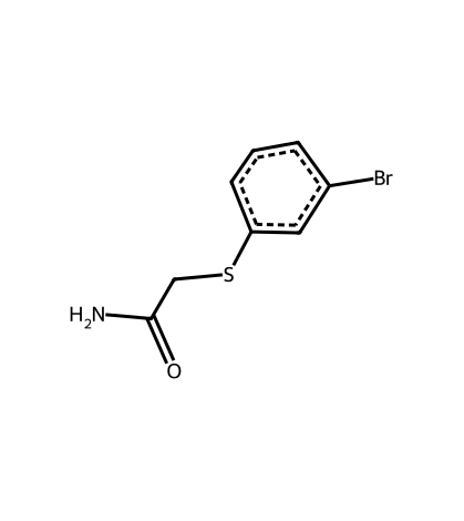 NC(=O)CSc1cccc(Br)c1